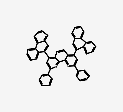 c1ccc(-c2cc(-c3cc4ccccc4c4ccccc34)c3ccc4c(-c5cc6ccccc6c6ccccc56)cc(-c5ccccc5)nc4c3n2)cc1